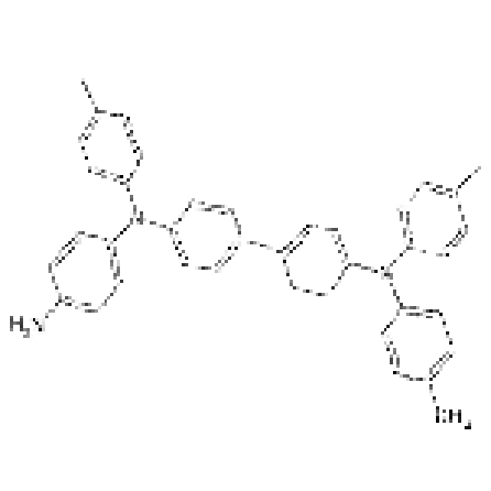 Cc1ccc(N(C2=CC=C(c3ccc(N(c4ccc(C)cc4)c4ccc(N)cc4)cc3)CC2)c2ccc(N)cc2)cc1